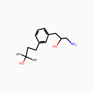 CCCC(O)(CCC)CCc1cccc(CC(O)CN)c1